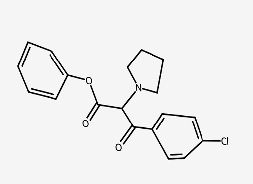 O=C(Oc1ccccc1)C(C(=O)c1ccc(Cl)cc1)N1CCCC1